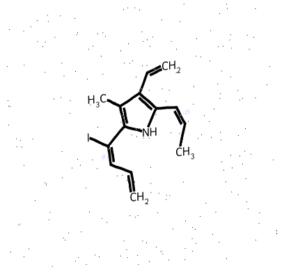 C=C/C=C(/I)c1[nH]c(/C=C\C)c(C=C)c1C